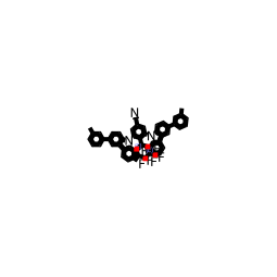 C=C(/C=C(\C=C(/C)C(F)(F)F)c1c(-n2c3ccccc3c3cc(-c4cccc(C)c4)ccc32)cc(C#N)cc1-n1c2ccccc2c2cc(-c3cccc(C)c3)ccc21)C(F)(F)F